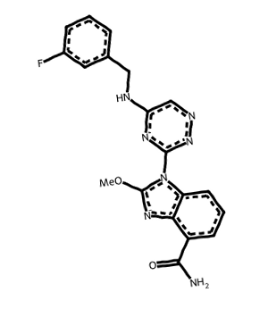 COc1nc2c(C(N)=O)cccc2n1-c1nncc(NCc2cccc(F)c2)n1